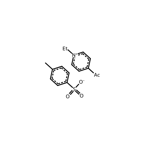 CC[n+]1ccc(C(C)=O)cc1.Cc1ccc(S(=O)(=O)[O-])cc1